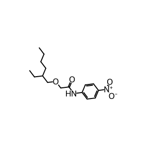 CCCCC(CC)COCC(=O)Nc1ccc([N+](=O)[O-])cc1